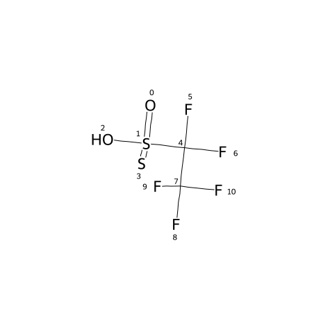 O=S(O)(=S)C(F)(F)C(F)(F)F